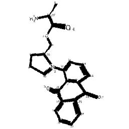 C[C@H](N)C(=O)OC[C@@H]1CCCN1c1cccc2c1C(=O)c1ccccc1C2=O